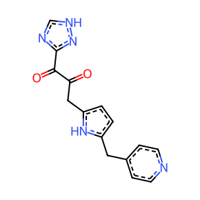 O=C(Cc1ccc(Cc2ccncc2)[nH]1)C(=O)c1nc[nH]n1